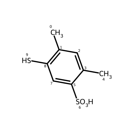 Cc1cc(C)c(S(=O)(=O)O)cc1S